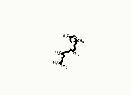 CC(C)=CCCC(C)=CCCC(C)=CCCC1(C)OCC(C)CO1